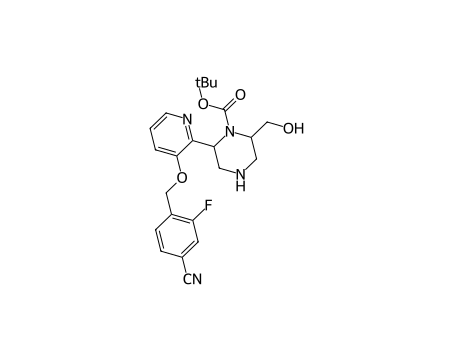 CC(C)(C)OC(=O)N1C(CO)CNCC1c1ncccc1OCc1ccc(C#N)cc1F